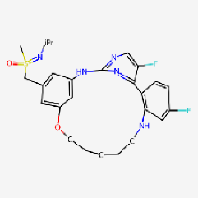 CC(C)N=S(C)(=O)Cc1cc2cc(c1)OCCCCCNc1cc(F)ccc1-c1nc(ncc1F)N2